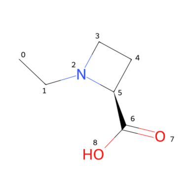 CCN1CC[C@H]1C(=O)O